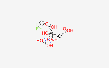 CC(O)(C=C[C@@H]1[C@@H](CC=C=CCCC(=O)O)[C@@H](O)C[C@H]1O)COc1cccc(C(F)(F)F)c1.NC(CO)(CO)CO